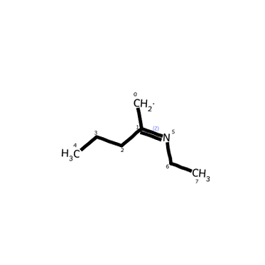 [CH2]/C(CCC)=N/CC